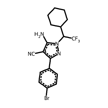 N#Cc1c(-c2ccc(Br)cc2)nn(C(C2CCCCC2)C(F)(F)F)c1N